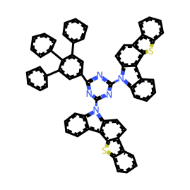 c1ccc(-c2cc(-c3nc(-n4c5ccccc5c5c6sc7ccccc7c6ccc54)nc(-n4c5ccccc5c5c6sc7ccccc7c6ccc54)n3)cc(-c3ccccc3)c2-c2ccccc2)cc1